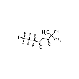 CC(C)(C)C(=O)CC(=O)C(F)(F)C(F)(F)C(F)(F)F